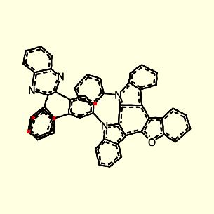 c1ccc(-c2cc(-n3c4ccccc4c4c5oc6ccccc6c5c5c6ccccc6n(-c6ccccc6)c5c43)ccc2-c2nc3ccccc3nc2-c2ccccc2)cc1